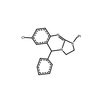 CC(C)N1CCN2C1=Nc1ccc(Cl)cc1C2c1ccccc1